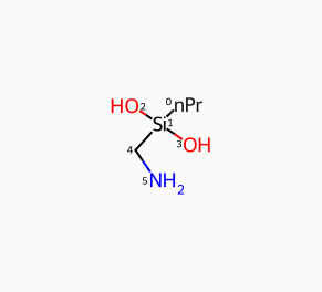 CCC[Si](O)(O)CN